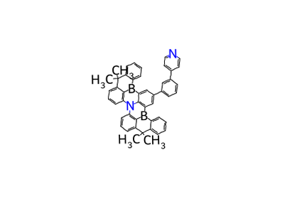 CC1(C)c2ccccc2B2c3cc(-c4cccc(-c5ccncc5)c4)cc4c3N(c3cccc1c32)c1cccc2c1B4c1ccccc1C2(C)C